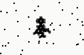 CC(C)CN(CC(C)C)c1ccc(-c2ccccc2)cc1N